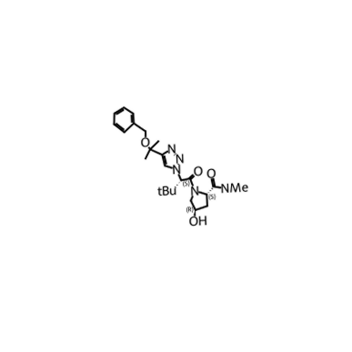 CNC(=O)[C@@H]1C[C@@H](O)CN1C(=O)[C@@H](n1cc(C(C)(C)OCc2ccccc2)nn1)C(C)(C)C